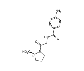 Nc1ccc(C(=O)NCC(=O)N2CCC[C@H]2C(=O)O)cc1